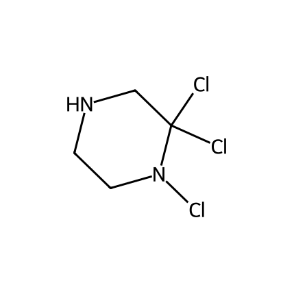 ClN1CCNCC1(Cl)Cl